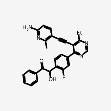 CCc1ncnc(-c2ccc(C(O)C(=O)c3ccccc3)c(F)c2)c1C#Cc1ccc(N)nc1C